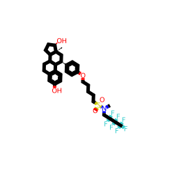 CN(CC(F)(F)C(F)(F)C(F)(F)F)S(=O)(=O)CCCCCOc1ccc([C@H]2C[C@@]3(C)C(CC[C@@H]3O)C3CCc4cc(O)ccc4C32)cc1